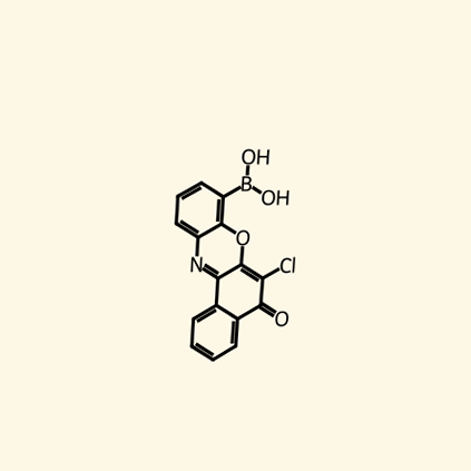 O=c1c(Cl)c2oc3c(B(O)O)cccc3nc-2c2ccccc12